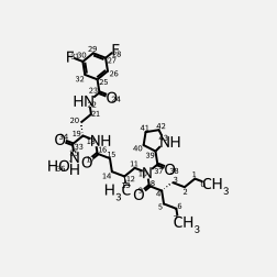 CCCC[C@H](CCC)C(=O)N(C[C@@H](C)CCC(=O)N[C@@H](CCNC(=O)c1cc(F)cc(F)c1)C(=O)NO)C(=O)C1CCCN1